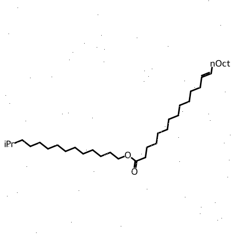 CCCCCCCCC=CCCCCCCCCCCCC(=O)OCCCCCCCCCCCCC(C)C